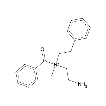 C[N+](CCN)(CCc1ccccc1)C(=O)c1ccccc1